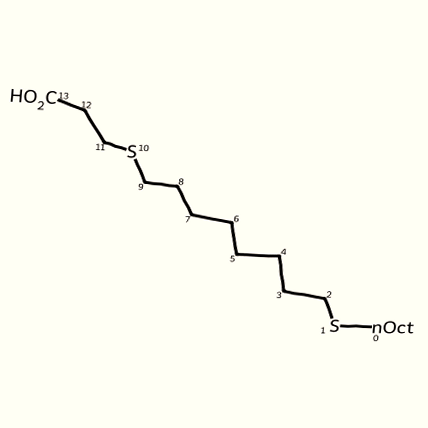 CCCCCCCCSCCCCCCCCSCCC(=O)O